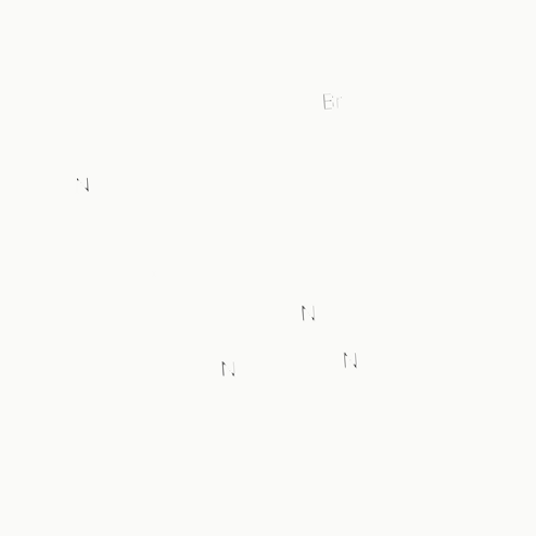 Cc1cc(C#N)cc(-n2ncc3ccc(Br)cc32)n1